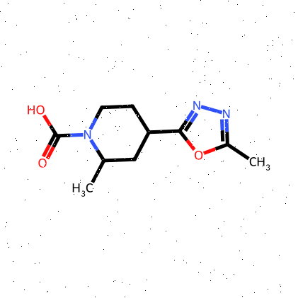 Cc1nnc(C2CCN(C(=O)O)C(C)C2)o1